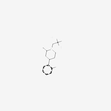 CC(C)(C)CN1CCC(c2ccccc2O)CC1I